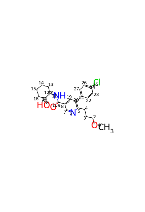 COCCCc1ncc(C(=O)N[C@@H]2CCCC[C@H]2O)cc1-c1ccc(Cl)cc1